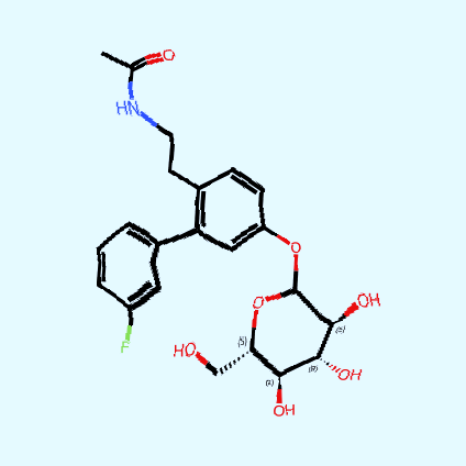 CC(=O)NCCc1ccc(OC2O[C@@H](CO)[C@H](O)[C@@H](O)[C@@H]2O)cc1-c1cccc(F)c1